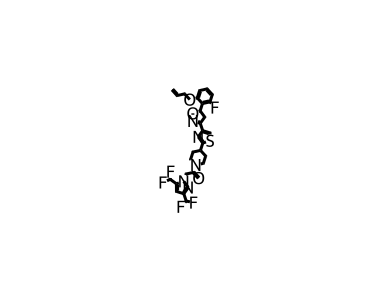 C=CCOc1cccc(F)c1C1CC(c2csc(C3CCN(C(=O)Cn4nc(C(F)F)cc4C(F)F)CC3)n2)=NO1